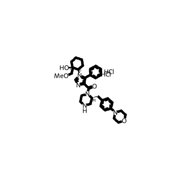 COC[C@]1(O)CCCC[C@H]1n1cnc(C(=O)N2CCNC[C@H]2Cc2ccc(N3CCOCC3)cc2)c1-c1ccccc1.Cl.Cl